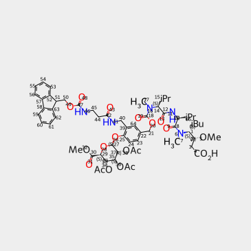 CC[C@H](C)[C@@H]([C@@H](CC(=O)O)OC)N(C)C(=O)[C@@H](NC(=O)[C@H](C(C)C)N(C)C(=O)OCc1ccc(O[C@@H]2O[C@H](C(=O)OC)[C@@H](OC(C)=O)[C@H](OC(C)=O)[C@H]2OC(C)=O)c(CNC(=O)CCNC(=O)OCC2c3ccccc3-c3ccccc32)c1)C(C)C